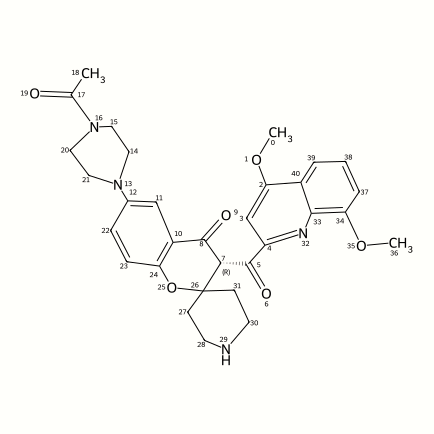 COc1cc(C(=O)[C@H]2C(=O)c3cc(N4CCN(C(C)=O)CC4)ccc3OC23CCNCC3)nc2c(OC)cccc12